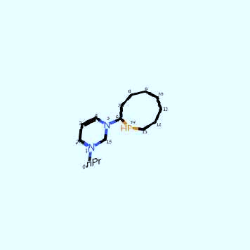 CCCN1CC=CN(C2CCCCCCCP2)C1